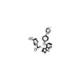 O=C(C[C@H]1CCc2sc3nccc(O[C@H]4CC[C@H](N5CCOCC5)CC4)c3c21)N1CC[C@@H](O)C1